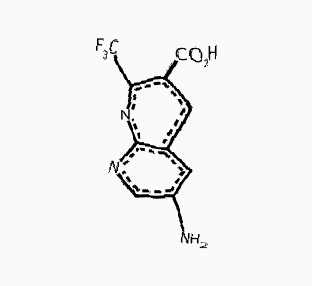 Nc1cnc2nc(C(F)(F)F)c(C(=O)O)cc2c1